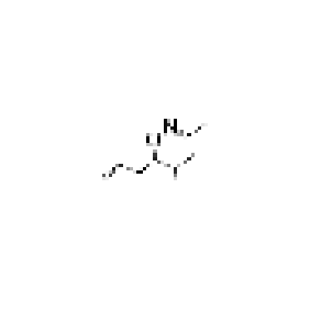 C=CC[C@H]1ON=C(C)CC1C